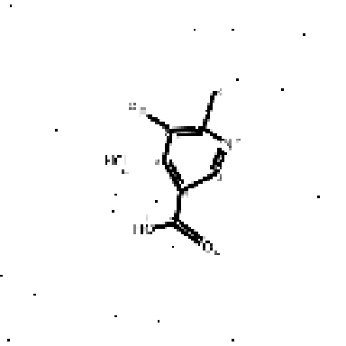 Cc1ncc(C(=O)O)cc1F.Cl